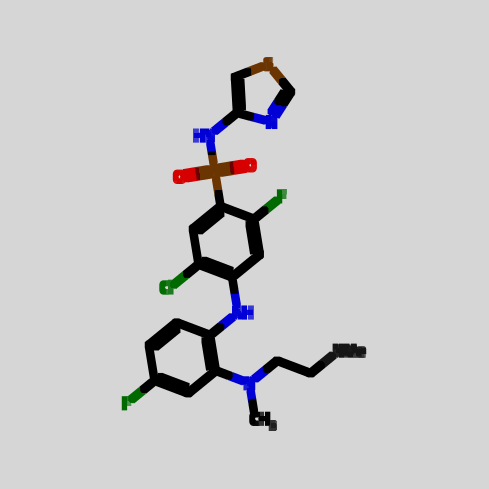 CNCCN(C)c1cc(F)ccc1Nc1cc(F)c(S(=O)(=O)Nc2cscn2)cc1Cl